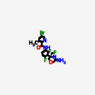 Cc1cc(Br)cnc1C(=O)NC1=CC=C(F)C([C@]2(C(F)F)COCC(N)=N2)C1